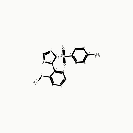 COc1ccccc1[C@H]1OC=N[C@@H]1S(=O)(=O)c1ccc(C)cc1